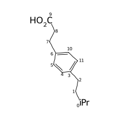 CC(C)CCc1ccc(CCC(=O)O)cc1